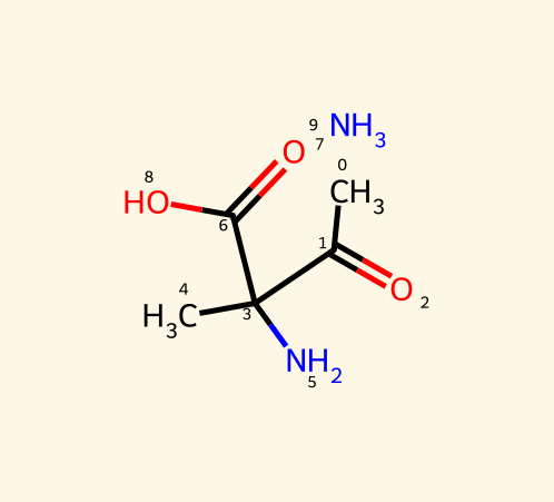 CC(=O)C(C)(N)C(=O)O.N